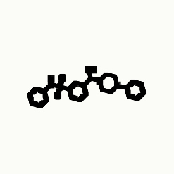 O=S(=O)(Nc1ccccc1)c1cccc(C(O)N2CCN(c3ccccc3)CC2)c1